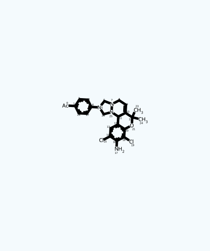 CC(=O)c1ccc(N2CN3CC=C4C(c5cc(Cl)c(N)c(Cl)c5OC4(C)C)N3C2)cc1